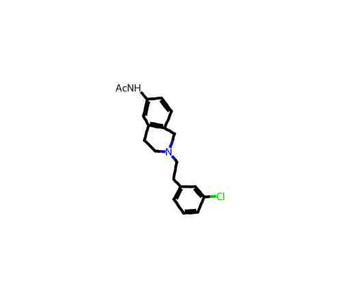 CC(=O)Nc1ccc2c(c1)CCN(CCc1cccc(Cl)c1)C2